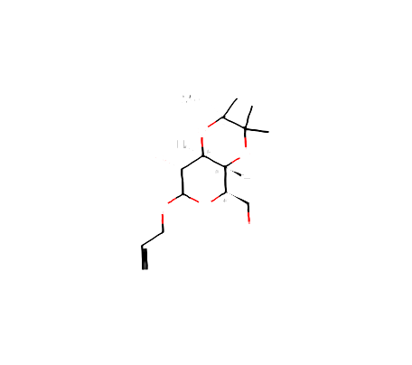 C=CCOC1O[C@H](CO)[C@H]2OC(C)(C)[C@@](C)(OC)O[C@@H]2[C@H]1O